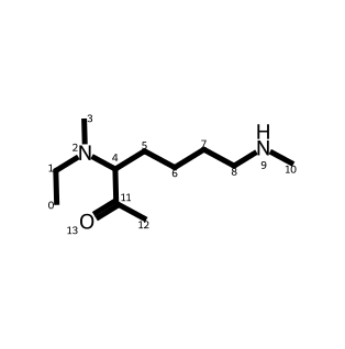 CCN(C)C(CCCCNC)C(C)=O